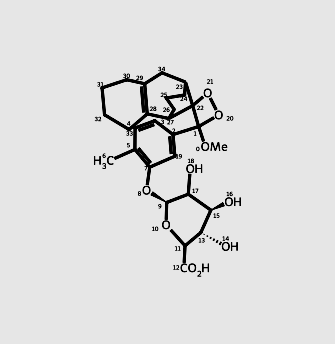 COC1(c2ccc(C)c(O[C@@H]3OC(C(=O)O)[C@@H](O)[C@H](O)C3O)c2)OOC12C1CCCC2C2=C(CCCC2)C1